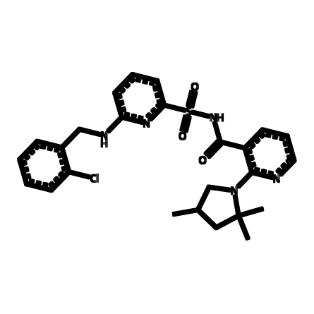 CC1CN(c2ncccc2C(=O)NS(=O)(=O)c2cccc(NCc3ccccc3Cl)n2)C(C)(C)C1